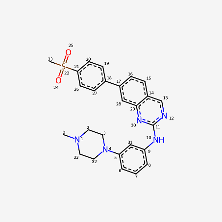 CN1CCN(c2cccc(Nc3ncc4ccc(-c5ccc(S(C)(=O)=O)cc5)cc4n3)c2)CC1